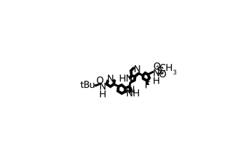 CC(C)(C)CC(=O)Nc1cncc(-c2ccc3[nH]nc(-c4cc5c(-c6cc(F)cc(CNS(C)(=O)=O)c6)nccc5[nH]4)c3c2)c1